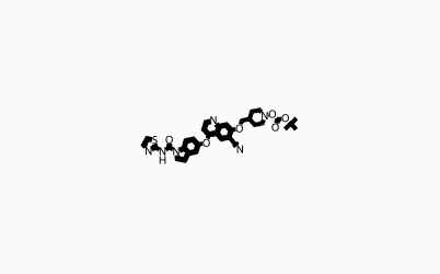 CC(C)(C)OC(=O)ON1CCC(COc2cc3nccc(Oc4ccc5c(ccn5C(=O)Nc5nccs5)c4)c3cc2C#N)CC1